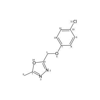 Cc1nnc(COc2ccc(Cl)cc2)o1